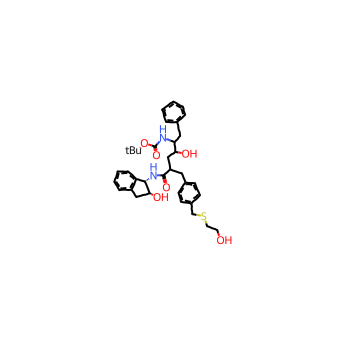 CC(C)(C)OC(=O)NC(Cc1ccccc1)C(O)CC(Cc1ccc(CSCCO)cc1)C(=O)N[C@H]1c2ccccc2C[C@@H]1O